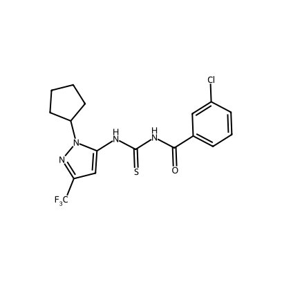 O=C(NC(=S)Nc1cc(C(F)(F)F)nn1C1CCCC1)c1cccc(Cl)c1